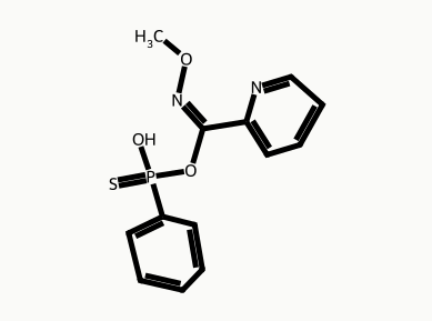 CON=C(OP(O)(=S)c1ccccc1)c1ccccn1